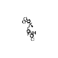 C#CC(C)(CCCc1ccc(F)c(Nc2ccc(Cl)cc2)c1)c1ccc(Cl)c(Cl)c1